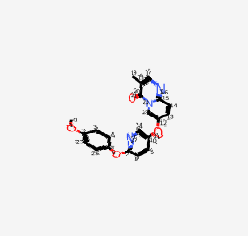 COc1ccc(Oc2ccc(Oc3ccc4ncc(C)c(=O)n4c3)cn2)cc1